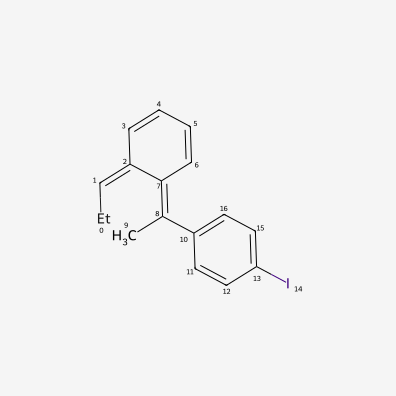 CC/C=c1/cccc/c1=C(/C)c1ccc(I)cc1